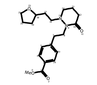 COC(=O)c1ccc(CCN2C(=O)CCCN2CCC2CCCO2)cc1